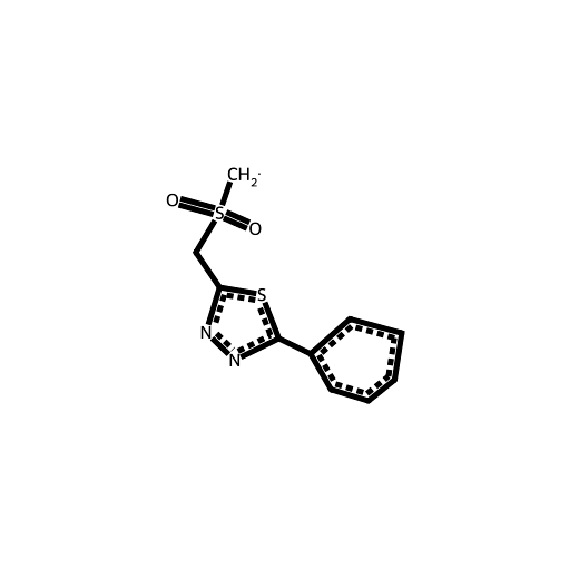 [CH2]S(=O)(=O)Cc1nnc(-c2ccccc2)s1